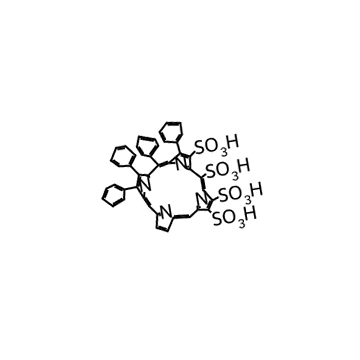 O=S(=O)(O)C1=C2N=C(C=C3C=CC(=N3)C=C3N=C(C(c4ccccc4)=C4N=C1C(S(=O)(=O)O)=C4c1ccccc1)C(c1ccccc1)=C3c1ccccc1)C(S(=O)(=O)O)=C2S(=O)(=O)O